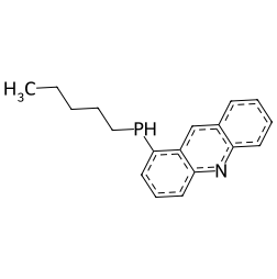 CCCCCPc1cccc2nc3ccccc3cc12